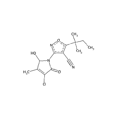 CCC(C)(C)c1onc(N2C(=O)C(Cl)=C(C)C2O)c1C#N